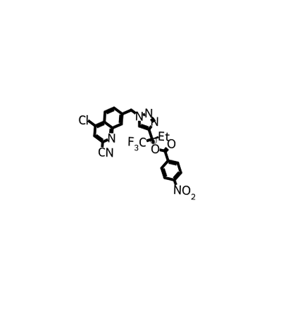 CC[C@](OC(=O)c1ccc([N+](=O)[O-])cc1)(c1cn(Cc2ccc3c(Cl)cc(C#N)nc3c2)nn1)C(F)(F)F